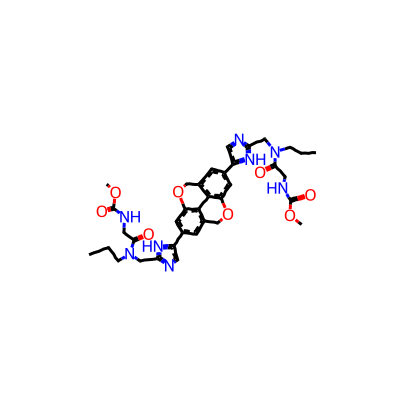 CCCN(Cc1ncc(-c2cc3c4c(c2)OCc2cc(-c5cnc(CN(CCC)C(=O)CNC(=O)OC)[nH]5)cc(c2-4)OC3)[nH]1)C(=O)CNC(=O)OC